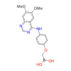 COc1cc2ncnc(Nc3ccc(OCB(O)O)cc3)c2cc1OC